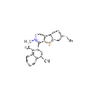 Cc1c(-c2c3sc4cc(CC(C)C)ccc4c3cc[n+]2C)cc(C#N)c2ccccc12